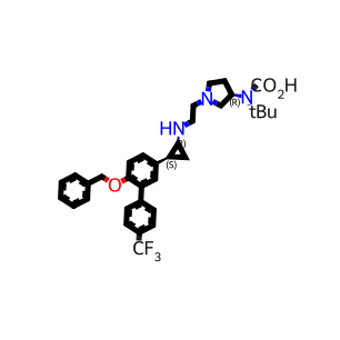 CC(C)(C)N(C(=O)O)[C@@H]1CCN(CCN[C@@H]2C[C@H]2c2ccc(OCc3ccccc3)c(-c3ccc(C(F)(F)F)cc3)c2)C1